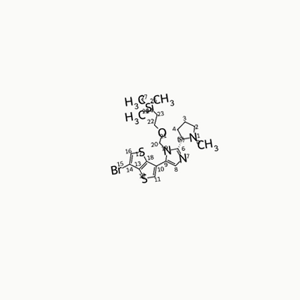 CN1CCC[C@H]1c1ncc(-c2csc3c(Br)csc23)n1COCC[Si](C)(C)C